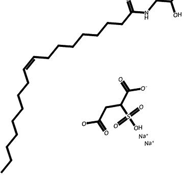 CCCCCCCC/C=C\CCCCCCCC(=O)NCC(C)O.O=C([O-])CC(C(=O)[O-])S(=O)(=O)O.[Na+].[Na+]